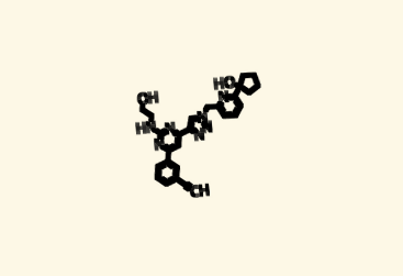 C#Cc1cccc(-c2cc(-c3cn(Cc4cccc(C5(O)CCCC5)n4)nn3)nc(NCCO)n2)c1